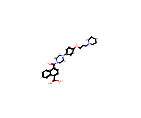 O=C(O)c1ccc(C(=O)N2CCN(c3ccc(OCCCN4CCCCC4)cc3)CC2)c2ccccc12